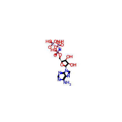 Nc1ncnc2c1ncn2[C@@H]1O[C@H](COP(=O)(O)N=P(O)(O)OP(=O)(O)O)[C@@H](O)[C@H]1O